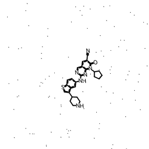 N#Cc1cc2cnc(Nc3ccc4scc(C5CCNCC5)c4c3)nc2n(C2CCCC2)c1=O